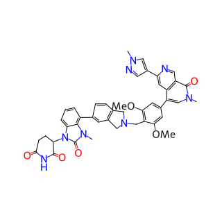 COc1cc(-c2cn(C)c(=O)c3cnc(-c4cnn(C)c4)cc23)cc(OC)c1CN1Cc2ccc(-c3cccc4c3n(C)c(=O)n4C3CCC(=O)NC3=O)cc2C1